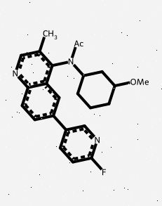 COC1CCCC(N(C(C)=O)c2c(C)cnc3ccc(-c4ccc(F)nc4)cc23)C1